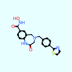 O=C1CN(Cc2ccc(-c3nccs3)cc2)Cc2cc(C(=O)NO)ccc2N1